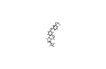 Cc1cccc(Sc2ccc3c(c2)OCC2C3CCN2C2=CC=C2)n1